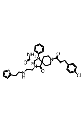 NC(=O)[C@H]1N(CCNCCc2cccs2)C(=O)C2(CCN(C(=O)[CH]Cc3ccc(Cl)cc3)CC2)N1c1ccccc1